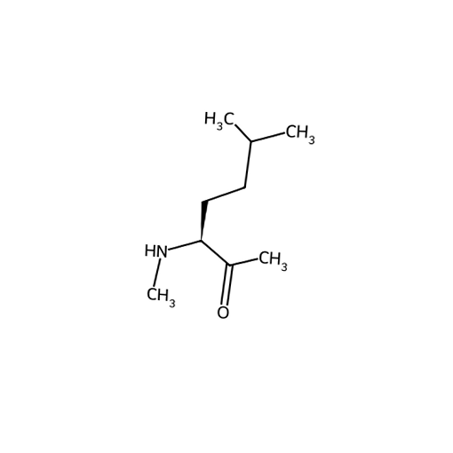 CN[C@@H](CCC(C)C)C(C)=O